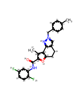 Cc1ccc(Cn2cc3c(n2)-c2c(oc(C(=O)Nc4cc(F)ccc4F)c2C)CC3)cc1